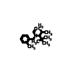 Cc1ccccc1CN(C=O)C(C(C)C)C(C)(C)C